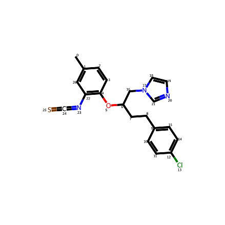 Cc1ccc(OC(CCc2ccc(Cl)cc2)Cn2ccnc2)c(N=C=S)c1